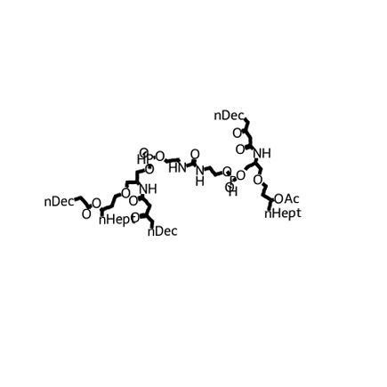 CCCCCCCCCCCC(=O)CC(=O)NC(COCCC(CCCCCCC)OC(C)=O)CO[PH](=O)OCCNC(=O)NCCO[PH](=O)OCC(COCCC(CCCCCCC)OC(=O)CCCCCCCCCCC)NC(=O)CC(=O)CCCCCCCCCCC